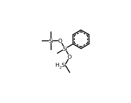 C[SiH2]O[Si](C)(O[Si](C)(C)C)c1ccccc1